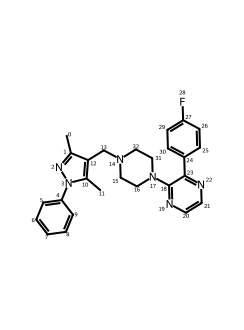 Cc1nn(-c2ccccc2)c(C)c1CN1CCN(c2nccnc2-c2ccc(F)cc2)CC1